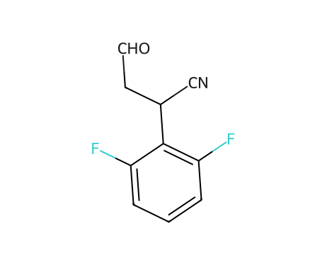 N#CC(CC=O)c1c(F)cccc1F